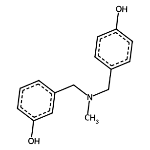 CN(Cc1ccc(O)cc1)Cc1cccc(O)c1